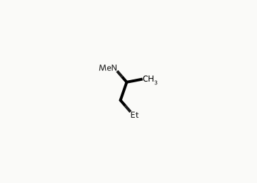 CCCC(C)NC